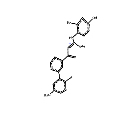 CCc1cc(O)ccc1N/C(=C/C(=O)c1cccc(-c2cc(OC)ccc2F)c1)SC